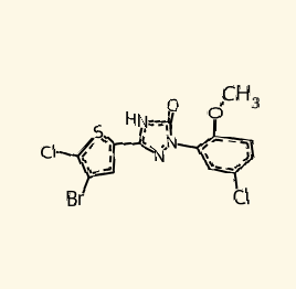 COc1ccc(Cl)cc1-n1nc(-c2cc(Br)c(Cl)s2)[nH]c1=O